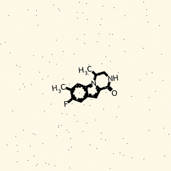 Cc1cc2c(cc1F)cc1n2C(C)CNC1=O